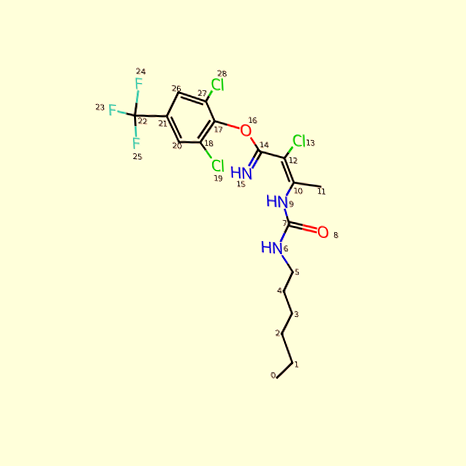 CCCCCCNC(=O)N/C(C)=C(/Cl)C(=N)Oc1c(Cl)cc(C(F)(F)F)cc1Cl